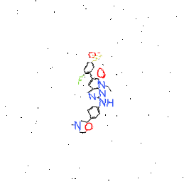 CCn1c(=O)c(-c2cc([S+](C)[O-])ccc2F)cc2cnc(Nc3ccc(C4CN(C)CCO4)cc3)nc21